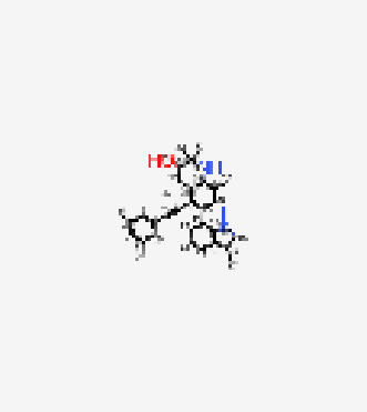 Cc1cc(C)cc(C#Cc2c(-c3cccc4c(C)c[nH]c34)cc(C)c3c2[C@H](C)C(O)C(C)(C)N3)c1